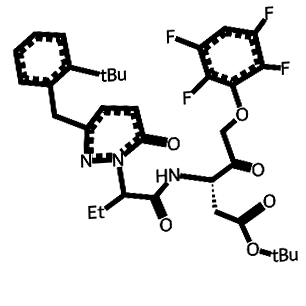 CCC(C(=O)N[C@@H](CC(=O)OC(C)(C)C)C(=O)COc1c(F)c(F)cc(F)c1F)n1nc(Cc2ccccc2C(C)(C)C)ccc1=O